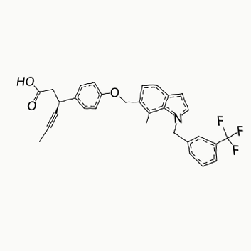 CC#C[C@@H](CC(=O)O)c1ccc(OCc2ccc3ccn(Cc4cccc(C(F)(F)F)c4)c3c2C)cc1